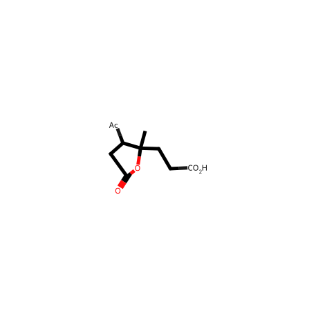 CC(=O)C1CC(=O)OC1(C)CCC(=O)O